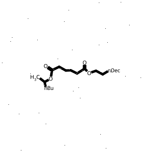 CCCCCCCCCCCCOC(=O)CCCCC(=O)OC(C)CCCC